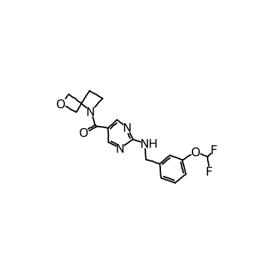 O=C(c1cnc(NCc2cccc(OC(F)F)c2)nc1)N1CCC12COC2